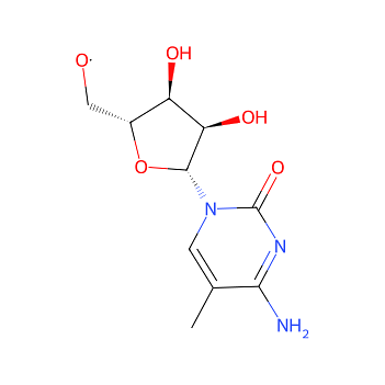 Cc1cn([C@@H]2O[C@H](C[O])[C@@H](O)[C@H]2O)c(=O)nc1N